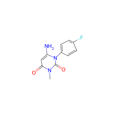 Cn1c(=O)cc(N)n(-c2ccc(F)cc2)c1=O